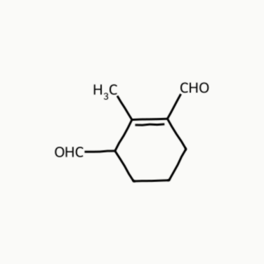 CC1=C(C=O)CCCC1C=O